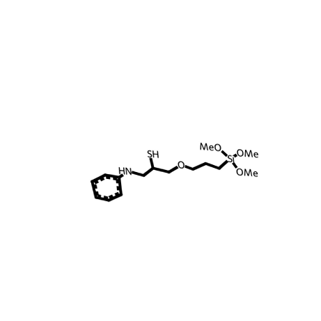 CO[Si](CCCOCC(S)CNc1ccccc1)(OC)OC